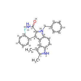 Cc1[nH]c2ccc3c(c(-c4ccccc4F)c(C(N)=O)n3Cc3ccccc3)c2c1C